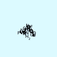 CN(C)S(=O)(=O)C1CCN(c2c(F)cncc2NC(=O)c2c(N)nn3cc(F)cnc23)CC1